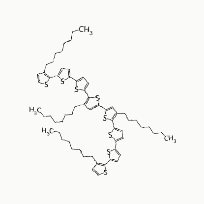 CCCCCCCCc1ccsc1-c1ccc(-c2ccc(-c3sc(-c4cc(CCCCCCCC)c(-c5ccc(-c6ccc(-c7sccc7CCCCCCCC)s6)s5)s4)cc3CCCCCCCC)s2)s1